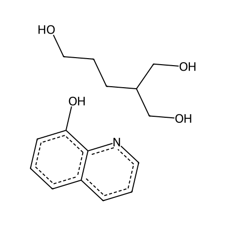 OCCCC(CO)CO.Oc1cccc2cccnc12